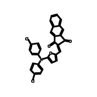 O=C1C(=Cc2ccc(N(c3ccc(Cl)cc3)c3ccc(Cl)cc3)o2)C(=O)c2cc3ccccc3cc21